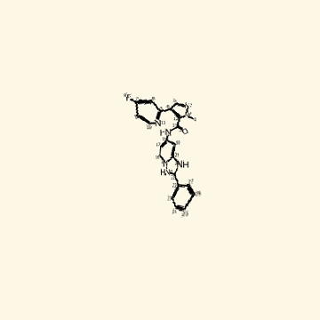 Cn1ncc(-c2cc(F)ccn2)c1C(=O)NC1=CCN2NC(c3ccccc3)NC2=C1